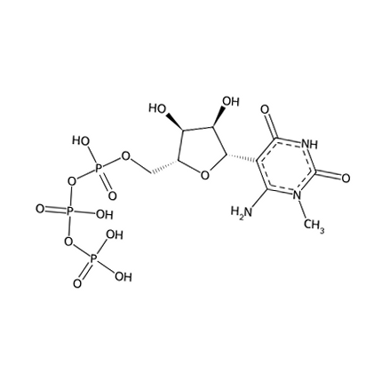 Cn1c(N)c([C@@H]2O[C@H](COP(=O)(O)OP(=O)(O)OP(=O)(O)O)[C@@H](O)[C@H]2O)c(=O)[nH]c1=O